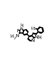 CCc1ccccc1-c1cc2c(-c3ccc4[nH]nc(N)c4c3)ccnc2[nH]1